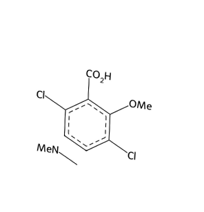 CNC.COc1c(Cl)ccc(Cl)c1C(=O)O